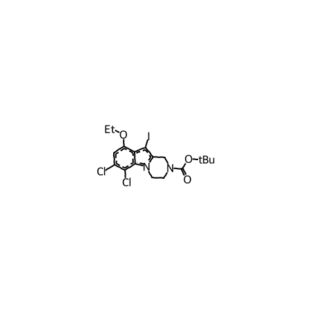 CCOc1cc(Cl)c(Cl)c2c1c(I)c1n2CCN(C(=O)OC(C)(C)C)C1